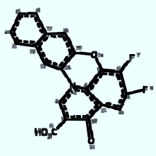 O=C(O)c1cn2c3c(c(F)c(F)cc3c1=O)Oc1cc3ccccc3cc1-2